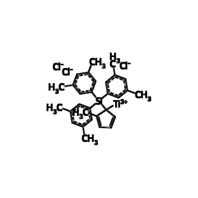 CC1=CC=C[C]1([Ti+3])[Si](c1cc(C)cc(C)c1)(c1cc(C)cc(C)c1)c1cc(C)cc(C)c1.[Cl-].[Cl-].[Cl-]